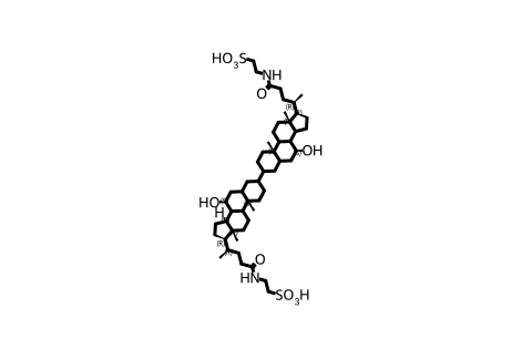 C[C@H](CCC(=O)NCCS(=O)(=O)O)[C@H]1CC[C@H]2C3C(CC[C@]12C)[C@@]1(C)CCC(C2CC[C@@]4(C)C(C2)C[C@H](O)C2C4CC[C@@]4(C)C2CC[C@@H]4[C@H](C)CCC(=O)NCCS(=O)(=O)O)CC1C[C@@H]3O